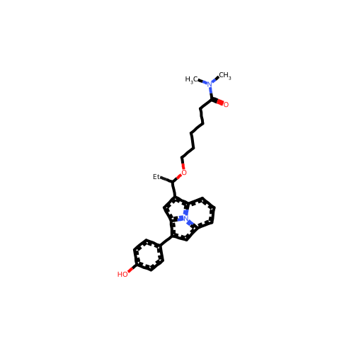 CCC(OCCCCCC(=O)N(C)C)c1cc2c(-c3ccc(O)cc3)cc3cccc1n32